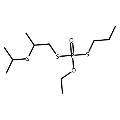 CCCSP(=O)(OCC)SCC(C)SC(C)C